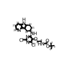 CC(C)(C)OC(=O)NCCOc1c(Cl)nc(Cl)nc1NC1CCc2[nH]c3cccnc3c2C1